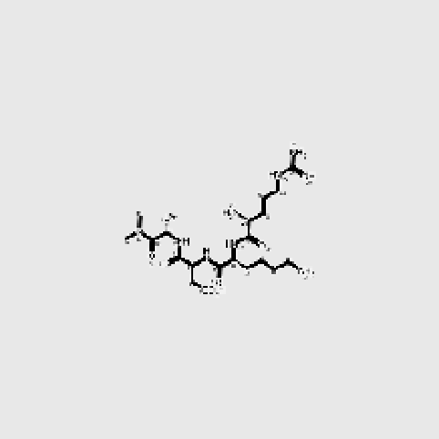 CC(C)[C@H](NC(=O)[C@H](CC(=O)O)NC(=O)[C@H](CCCCN)NC(=O)[C@@H](N)CCCNC(=N)N)C(=O)N(C)C